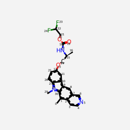 Cc1c2ccncc2cc2c3cc(OC[C@H](C)NC(=O)OCC(F)F)ccc3n(C)c12